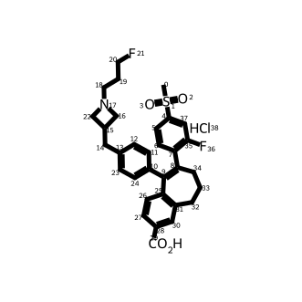 CS(=O)(=O)c1ccc(C2=C(c3ccc(CC4CN(CCCF)C4)cc3)c3ccc(C(=O)O)cc3CCC2)c(F)c1.Cl